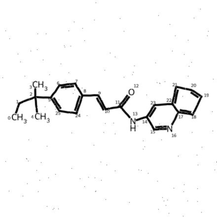 CCC(C)(C)c1ccc(C=CC(=O)Nc2cnc3ccccc3c2)cc1